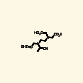 CC(O)N(CCN(CC(=O)O)CC(=O)O)COC=O